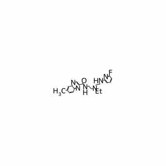 CCN(CCNC(=O)c1cnc2cc(C)ccc2n1)CCNc1cccc(F)n1